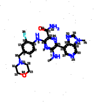 CNc1nc(Nc2ccc(CN3CCOCC3)cc2F)c(C(N)=O)nc1-c1cncc2c1ncn2C